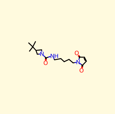 CC(C)(C)C1CN(C(=O)NCCCCCN2C(=O)C=CC2=O)C1